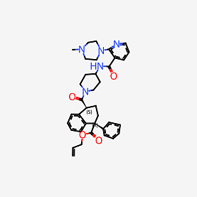 C=CCOC(=O)[C@@]1(c2ccccc2)CC[C@H](C(=O)N2CCC(NC(=O)c3cccnc3N3CCN(C)CC3)CC2)c2ccccc21